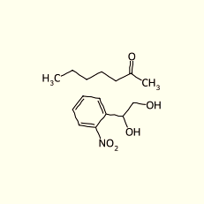 CCCCCC(C)=O.O=[N+]([O-])c1ccccc1C(O)CO